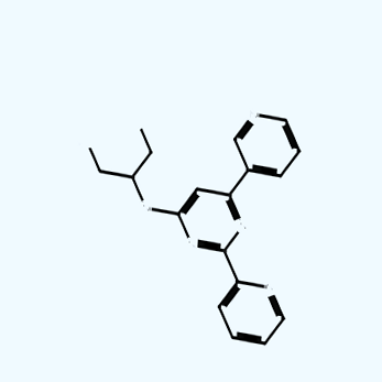 CCC(CO)Nc1cc(-c2cccnc2)nc(-c2ccccn2)n1